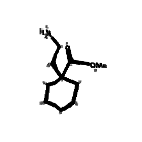 COC(=O)C1(CCN)CCCCC1